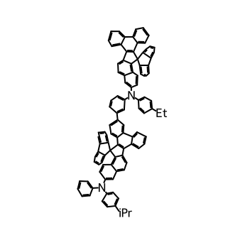 CCc1ccc(N(c2cccc(-c3ccc4c5c(c6ccccc6c4c3)-c3ccc4cc(N(c6ccccc6)c6ccc(C(C)C)cc6)ccc4c3C53c4ccccc4-c4ccccc43)c2)c2ccc3c4c(ccc3c2)-c2c(c3ccccc3c3ccccc23)C42c3ccccc3-c3ccccc32)cc1